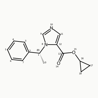 C[C@H](c1ccccc1)n1cncc1C(=O)OC1CC1